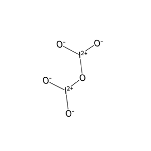 [O-][I+2]([O-])O[I+2]([O-])[O-]